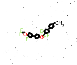 CCc1ccc(-c2cc(F)c(C(F)(F)Oc3ccc(-c4ccc(OC=C(F)F)c(F)c4)cc3)c(F)c2)cc1